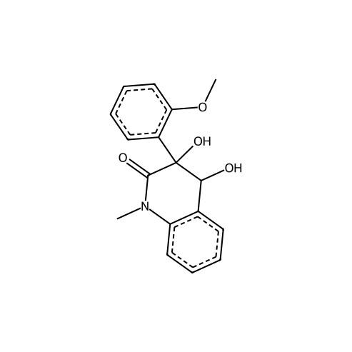 COc1ccccc1C1(O)C(=O)N(C)c2ccccc2C1O